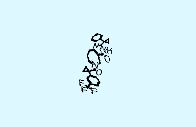 O=C(N1CCCc2nc(C3(c4ccccc4)CC3)[nH]c(=O)c2C1)C1(c2cccc(C(F)(F)F)c2)CC1